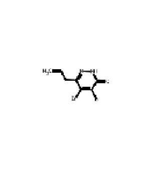 C=CCc1n[nH]c(=O)c(Br)c1Br